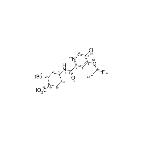 CC(C)(C)C1CC(NC(=O)c2cc(OC(F)F)c(Cl)cn2)CCN1C(=O)O